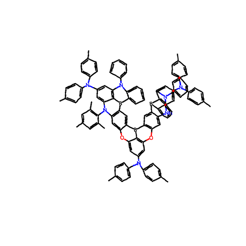 Cc1ccc(N(c2ccc(C)cc2)c2cc3c4c(c2)Oc2cc5c(cc2B4c2cc4c(cc2O3)Nc2cc(N(c3ccc(C)cc3)c3ccc(C)cc3)cc3c2B4c2ccccc2N3c2ccccc2)B2c3ccccc3N(c3ccccc3)c3cc(N(c4ccc(C)cc4)c4ccc(C)cc4)cc(c32)N5c2c(C)cc(C)cc2C)cc1